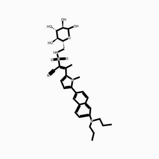 CCCN(CCC)c1ccc2cc(-c3ccc(/C(C)=C(\C#N)S(=O)(=O)NC[C@H]4OC(O)[C@H](O)[C@@H](O)[C@@H]4O)n3C)ccc2c1